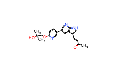 CC(=O)/C=C/c1c[nH]c2ncc(-c3ccc(OCC(C)(C)O)nc3)cc12